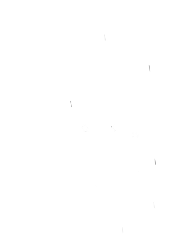 O=S(=O)(c1cc(I)c(I)c(I)c1I)c1cc(I)c(I)c(I)c1I